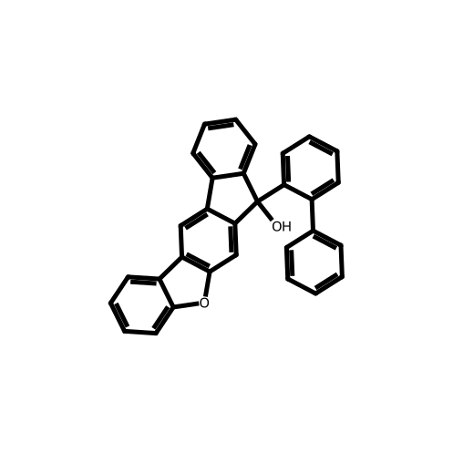 OC1(c2ccccc2-c2ccccc2)c2ccccc2-c2cc3c(cc21)oc1ccccc13